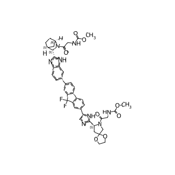 COC(=O)NCC(=O)N1CC2(C[C@H]1c1ncc(-c3ccc4c(c3)C(F)(F)c3cc(-c5ccc6nc([C@@H]7[C@H]8CC[C@H](C8)N7C(=O)CNC(=O)OC)[nH]c6c5)ccc3-4)[nH]1)OCCO2